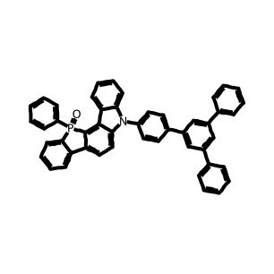 O=P1(c2ccccc2)c2ccccc2-c2ccc3c(c21)c1ccccc1n3-c1ccc(-c2cc(-c3ccccc3)cc(-c3ccccc3)c2)cc1